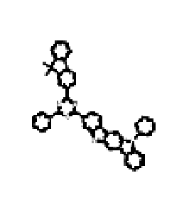 CC1(C)c2ccccc2-c2ccc(-c3nc(-c4ccccc4)nc(-c4ccc5c(c4)oc4cc6c7ccccc7n(-c7ccccc7)c6cc45)n3)cc21